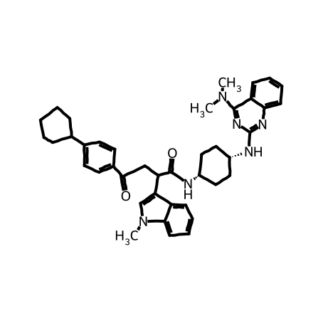 CN(C)c1nc(N[C@H]2CC[C@@H](NC(=O)C(CC(=O)c3ccc(C4CCCCC4)cc3)c3cn(C)c4ccccc34)CC2)nc2ccccc12